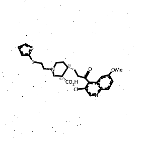 COc1ccc2ncc(Cl)c(C(=O)CC[C@H]3CCN(CCSc4cccs4)C[C@H]3C(=O)O)c2c1